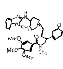 COc1cc(C(=O)N(C)CC(CCN2CCC(Nc3nc4ccccc4n3C)CC2)c2cccc(Cl)c2)cc(OC)c1OC